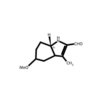 COC1CC[C@@H]2NC(C=O)=C(C)C2C1